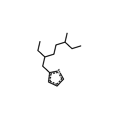 CCC(C)CCC(CC)Cc1cccs1